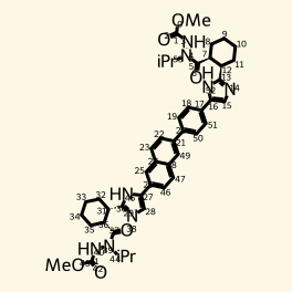 COC(=O)NN(C(=O)[C@H]1CCCC[C@H]1c1ncc(-c2ccc(-c3ccc4cc(-c5cnc([C@H]6CCCC[C@H]6C(=O)N(NC(=O)OC)C(C)C)[nH]5)ccc4c3)cc2)[nH]1)C(C)C